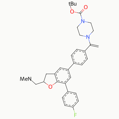 C=C(c1ccc(-c2cc3c(c(-c4ccc(F)cc4)c2)OC(CNC)C3)cc1)N1CCN(C(=O)OC(C)(C)C)CC1